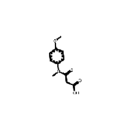 COc1ccc(N(C)C(=S)CC(=O)O)cc1